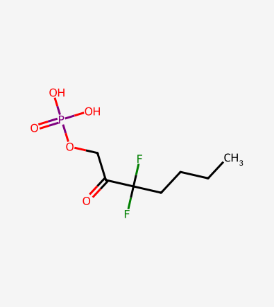 CCCCC(F)(F)C(=O)COP(=O)(O)O